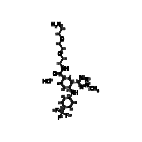 Cl.Cn1nnc(-c2cc(C(=O)NCCOCCOCCN)ccc2Nc2ccc(C(F)(F)F)cc2)n1